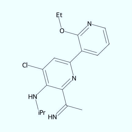 CCOc1ncccc1-c1cc(Cl)c(NC(C)C)c(C(C)=N)n1